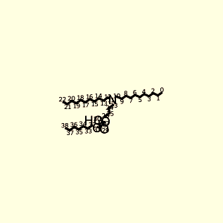 CCCCCCCCCCCN(CCCCCCCCCCC)CCCCOP(=O)(O)OCCCCCCC